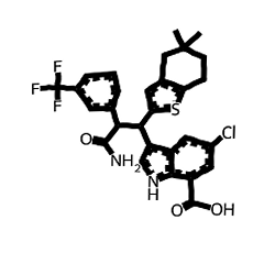 CC1(C)CCc2sc(C(c3c[nH]c4c(C(=O)O)cc(Cl)cc34)C(C(N)=O)c3cccc(C(F)(F)F)c3)cc2C1